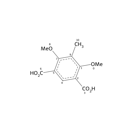 COc1c(C(=O)O)cc(C(=O)O)c(OC)c1C